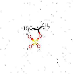 CC(C)OS([O])(=O)=O